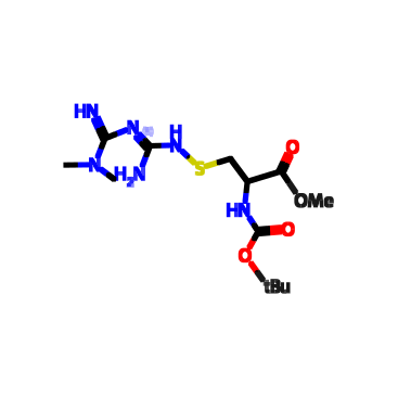 COC(=O)C(CSN/C(N)=N/C(=N)N(C)C)NC(=O)OC(C)(C)C